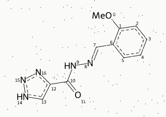 COc1ccccc1C=NNC(=O)c1c[nH]nn1